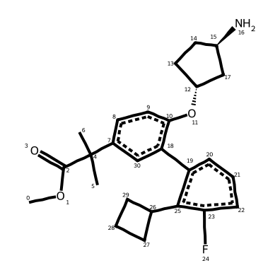 COC(=O)C(C)(C)c1ccc(O[C@@H]2CC[C@@H](N)C2)c(-c2cccc(F)c2C2CCC2)c1